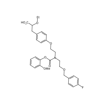 CCOC(Cc1ccc(OCCN(CCOCc2ccc(F)cc2)C(=O)Oc2ccccc2OC)cc1)C(=O)O